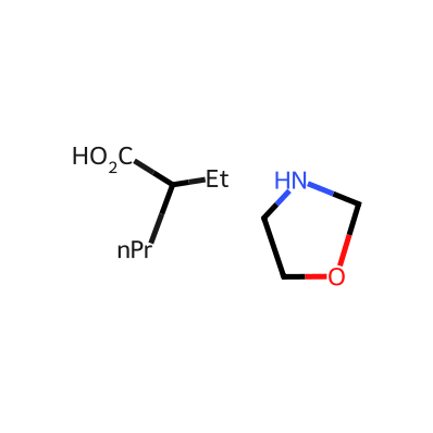 C1COCN1.CCCC(CC)C(=O)O